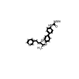 CNC(=O)Nc1ccc(-c2ccc(O[C@@H](C)[C@H](O)CCc3cccnc3)cc2)cc1